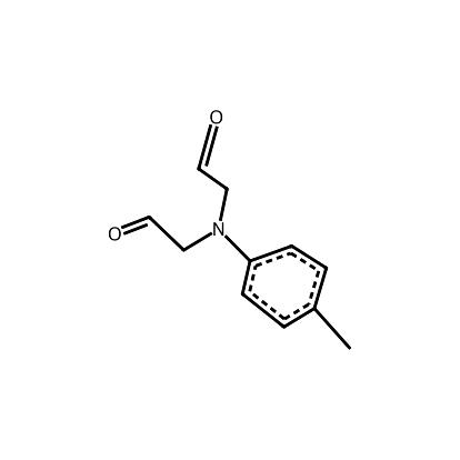 Cc1ccc(N(CC=O)CC=O)cc1